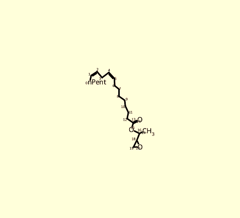 CCCCC/C=C\C/C=C\CCCCCCCC(=O)OC(C)C1CO1